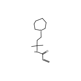 C=CC(=O)NC(C)(C)CCN1CCCCCC1